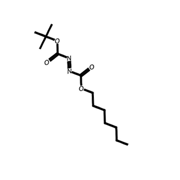 CCCCCCCOC(=O)N=NC(=O)OC(C)(C)C